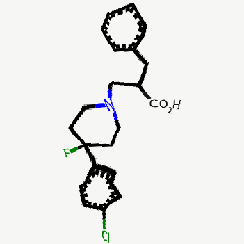 O=C(O)C(Cc1ccccc1)CN1CCC(F)(c2ccc(Cl)cc2)CC1